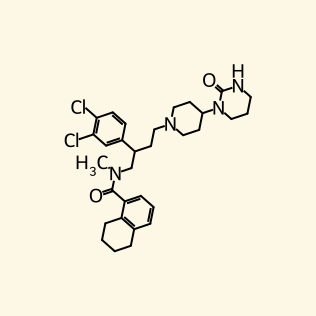 CN(CC(CCN1CCC(N2CCCNC2=O)CC1)c1ccc(Cl)c(Cl)c1)C(=O)c1cccc2c1CCCC2